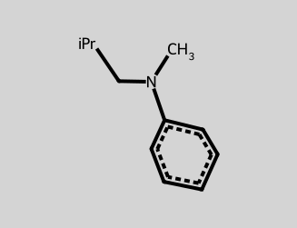 CC(C)CN(C)c1ccccc1